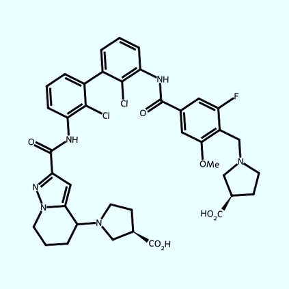 COc1cc(C(=O)Nc2cccc(-c3cccc(NC(=O)c4cc5n(n4)CCCC5N4CC[C@@H](C(=O)O)C4)c3Cl)c2Cl)cc(F)c1CN1CC[C@@H](C(=O)O)C1